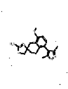 COc1ccc(-c2c(C)noc2C)c2c1CC1(CC2)COC(N)=N1